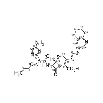 C=CCON=C(C(=O)NC1C(=O)N2C(C(=O)O)=C(C=CSc3cc4c(nn3)CCCC4)CS[C@@H]12)c1nsc(N)n1